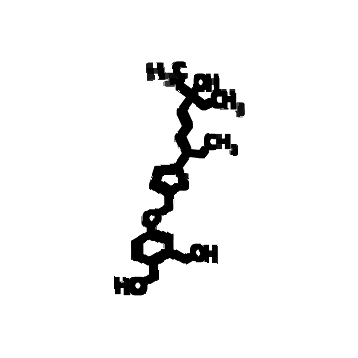 CC/C(=C\C=C\C(O)(CC)CC)c1ccc(COc2ccc(CO)c(CO)c2)s1